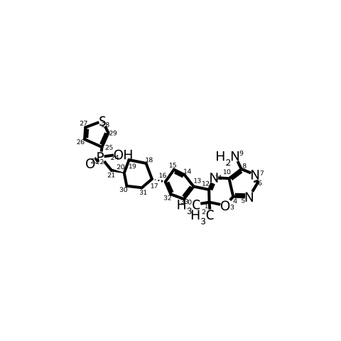 CC1(C)Oc2ncnc(N)c2N=C1c1ccc([C@H]2CC[C@H](CP(=O)(O)c3ccsc3)CC2)cc1